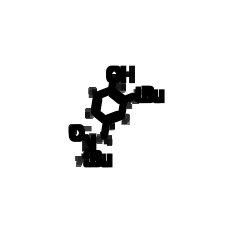 CC(C)(C)c1cc(C=[N+]([O-])C(C)(C)C)ccc1O